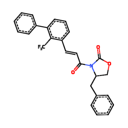 O=C(/C=C/c1cccc(-c2ccccc2)c1C(F)(F)F)N1C(=O)OCC1Cc1ccccc1